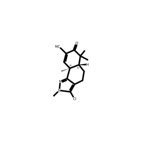 Cn1nc2c(c1Cl)CC[C@H]1C(C)(C)C(=O)C(C#N)=C[C@]21C